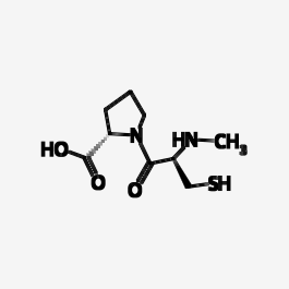 CN[C@@H](CS)C(=O)N1CCC[C@H]1C(=O)O